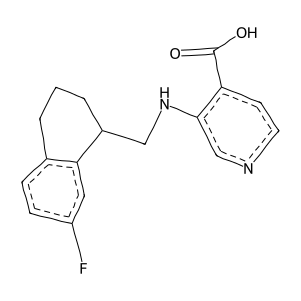 O=C(O)c1ccncc1NCC1CCCc2ccc(F)cc21